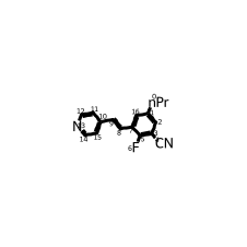 CCCc1cc(C#N)c(F)c(/C=C/c2ccncc2)c1